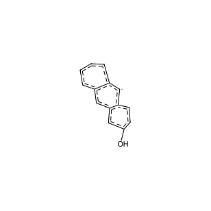 Oc1ccc2[c]c3ccccc3cc2c1